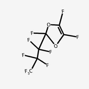 FC1=C(F)OC(F)(C(F)(F)C(F)(F)C(F)(F)F)O1